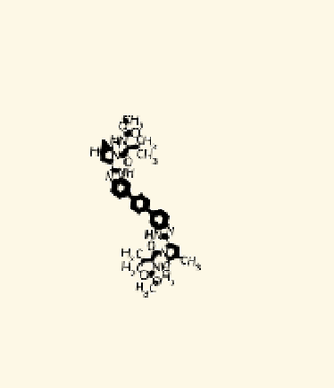 COC(=O)N[C@H](C(=O)N1[C@H](C)[C@H](C)C[C@H]1c1nc2ccc(-c3ccc(-c4ccc5nc([C@@H]6C[C@H]7C[C@H]7N6C(=O)[C@@H](NC(=O)OC)C(C)C)[nH]c5c4)cc3)cc2[nH]1)C(C)C